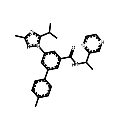 Cc1ccc(-c2cc(C(=O)NC(C)c3cnccn3)cc(-n3nc(C)nc3C(C)C)c2)cc1